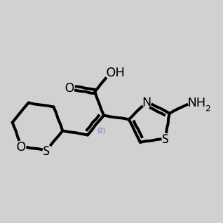 Nc1nc(/C(=C/C2CCCOS2)C(=O)O)cs1